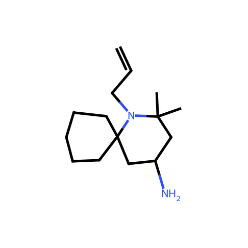 C=CCN1C(C)(C)CC(N)CC12CCCCC2